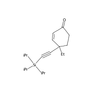 CCC1(C#C[Si](C(C)C)(C(C)C)C(C)C)C=CC(=O)CC1